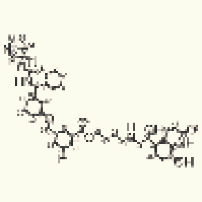 O=C(NC(c1ccccc1)c1cccc(OCc2cc(F)cc(C(=O)OCCCCNCC(O)c3ccc(O)c4[nH]c(=O)ccc34)c2)c1)O[C@H]1CN2CCC1CC2